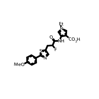 CCn1cc(NC(=O)C(F)Cc2cnc(-c3ccc(OC)cc3)s2)c(C(=O)O)c1